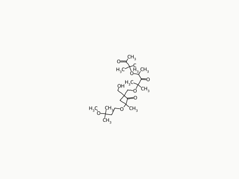 COC(C)(C)CCOC1(C)CC(CO)(COC(C)(C)C(=O)C(C)OC(C)(C)C(C)=O)C1=O